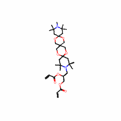 C=CC(=O)OCC(CN1C(C)(C)CC2(CC1(C)C)OCC1(COC3(CC(C)(C)N(C)C(C)(C)C3)OC1)CO2)OC(=O)C=C